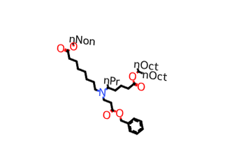 CCCCCCCCCOC(=O)CCCCCCCN(CCC(=O)OCc1ccccc1)C(CCC)CCCC(=O)OC(CCCCCCCC)CCCCCCCC